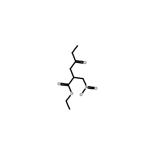 CCOC(=O)C(CC(=O)CC)C[N+](=O)[O-]